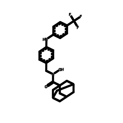 O=C(N(O)Cc1ccc(Nc2ccc(C(F)(F)F)cc2)cc1)C12CC3CC(CC(C3)C1)C2